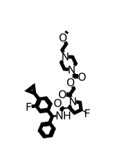 COCCN1CCN(C(=O)OCC(=O)N2C[C@H](F)C[C@H]2C(=O)N[C@@H](c2ccccc2)c2ccc(C3CC3)c(F)c2)CC1